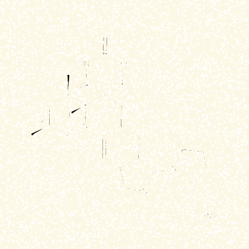 COC[C@H]1OCC(=O)N1c1noc2c(F)c3c(cc12)CC1(C(=O)NC(=O)NC1=O)[C@H]1[C@H](C)O[C@H](C)CN31